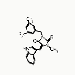 CN1C(=O)N(Cc2cc(C(F)(F)F)cc(C(F)(F)F)c2)C(=O)C1=Cc1c[nH]c2ccccc12